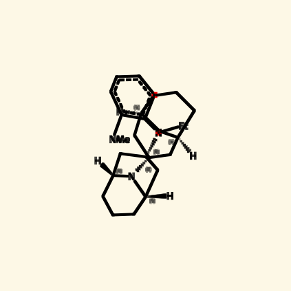 CCN(c1ccccc1NC)[C@H]1C[C@H]2CCC[C@@H](C1)N2[C@H]1C[C@@H]2CCC[C@@H](C2)C1